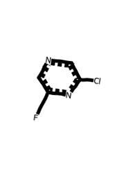 Fc1cn[c]c(Cl)n1